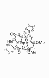 COc1ccc(CN(c2nccs2)S(=O)(=O)c2cc(Cl)c(N[C@H]3CCCC[C@@H]3NC(=O)OC(C)(C)C)cc2F)c(OC)c1